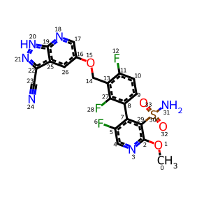 COc1ncc(F)c(-c2ccc(F)c(COc3cnc4[nH]nc(C#N)c4c3)c2F)c1S(N)(=O)=O